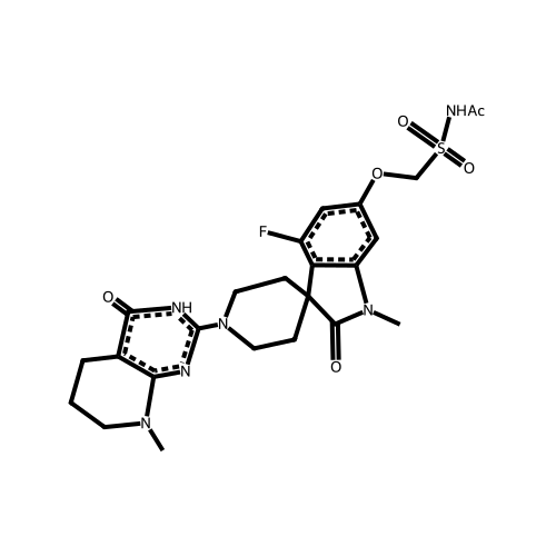 CC(=O)NS(=O)(=O)COc1cc(F)c2c(c1)N(C)C(=O)C21CCN(c2nc3c(c(=O)[nH]2)CCCN3C)CC1